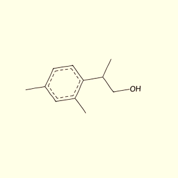 Cc1ccc(C(C)CO)c(C)c1